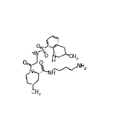 CC1CNc2c(cccc2S(=O)(=O)NCC(=O)N2CCC(C)C[C@H]2C(=O)NCCCCN)C1